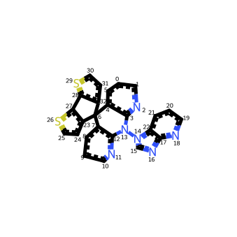 c1cnc2c(c1)C1(c3cccnc3N2n2cnc3ncccc32)c2ccsc2-c2sccc21